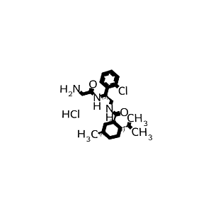 CC(C)[C@@H]1CC[C@@H](C)C[C@H]1C(=O)NC[C@@H](NC(=O)CN)c1ccccc1Cl.Cl